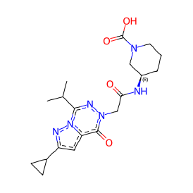 CC(C)c1nn(CC(=O)N[C@@H]2CCCN(C(=O)O)C2)c(=O)c2cc(C3CC3)nn12